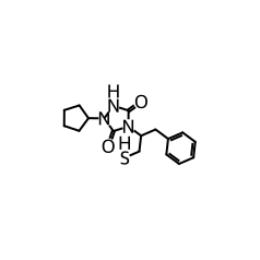 O=c1[nH]n(C2CCCC2)c(=O)n1C(CS)Cc1ccccc1